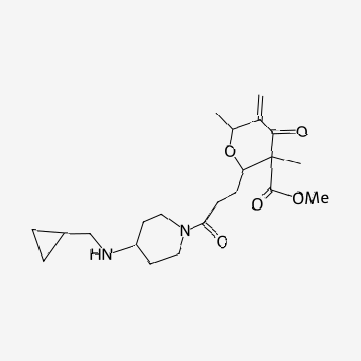 C=C1C(=O)C(C)(C(=O)OC)C(CCC(=O)N2CCC(NCC3CC3)CC2)OC1C